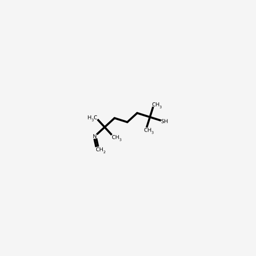 C=NC(C)(C)CCCC(C)(C)S